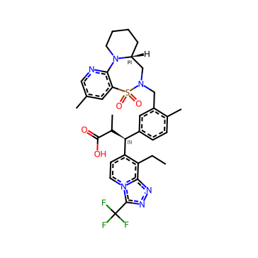 CCc1c([C@H](c2ccc(C)c(CN3C[C@H]4CCCCN4c4ncc(C)cc4S3(=O)=O)c2)C(C)C(=O)O)ccn2c(C(F)(F)F)nnc12